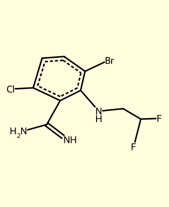 N=C(N)c1c(Cl)ccc(Br)c1NCC(F)F